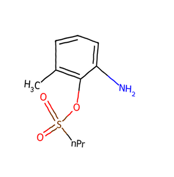 CCCS(=O)(=O)Oc1c(C)cccc1N